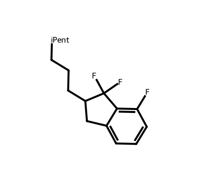 CCCC(C)CCCC1Cc2cccc(F)c2C1(F)F